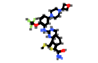 CSc1sc(C(N)=O)c2c1-c1nc(Nc3cc(N4CCN(C5COC5)CC4)ccc3OC(F)(F)F)ncc1CC2